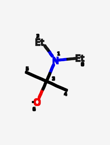 CCN(CC)C(C)(C)[O]